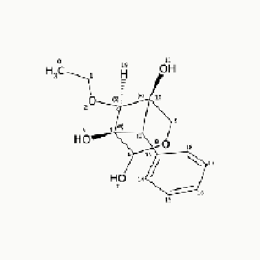 CCO[C@@H]1[C@@]2(O)C(O)OC[C@]1(O)C2c1ccccc1